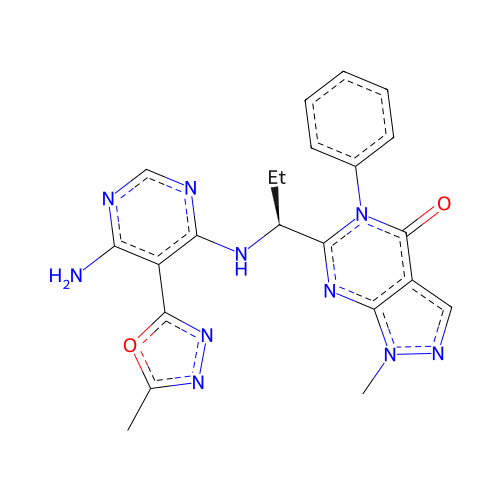 CC[C@H](Nc1ncnc(N)c1-c1nnc(C)o1)c1nc2c(cnn2C)c(=O)n1-c1ccccc1